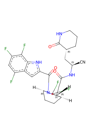 N#C[C@H](C[C@H]1CCCNC1=O)NC(=O)[C@@H]1[C@H]2CC[C@H](CC2(F)F)N1C(=O)c1cc2c(F)cc(F)c(F)c2[nH]1